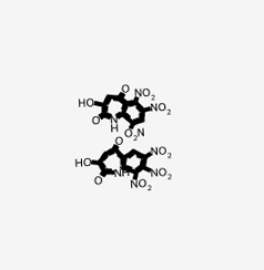 O=c1[nH]c2c([N+](=O)[O-])c([N+](=O)[O-])c([N+](=O)[O-])cc2c(=O)cc1O.O=c1[nH]c2c([N+](=O)[O-])cc([N+](=O)[O-])c([N+](=O)[O-])c2c(=O)cc1O